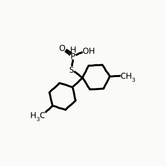 CC1CCC(C2(S[PH](=O)O)CCC(C)CC2)CC1